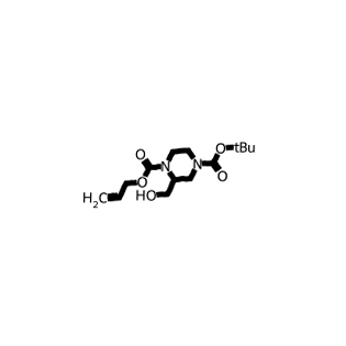 C=CCOC(=O)N1CCN(C(=O)OC(C)(C)C)CC1CO